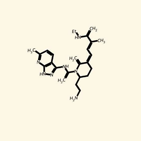 C=C(NCC)/C(C)=C/C=C1/CCC(CCN)N(C(=C)Nc2n[nH]c3nc(C)ccc23)C1=C